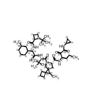 CCCC(NC(=O)[C@@H]1C[C@@]2(CN1C(=O)[C@@H](NC(=O)[C@@H](NC(=O)C1CCN1C(C)(C)C)C1CCCC(C)C1)C(C)(C)C)C(C)C21CCC1)C(=O)C(=O)NC1CC1